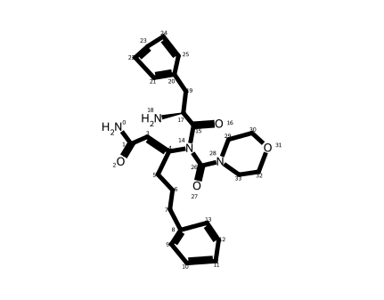 NC(=O)/C=C(\CCCc1ccccc1)N(C(=O)[C@@H](N)Cc1ccccc1)C(=O)N1CCOCC1